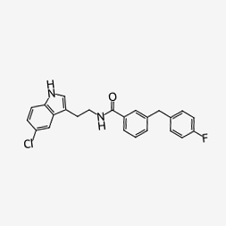 O=C(NCCc1c[nH]c2ccc(Cl)cc12)c1cccc(Cc2ccc(F)cc2)c1